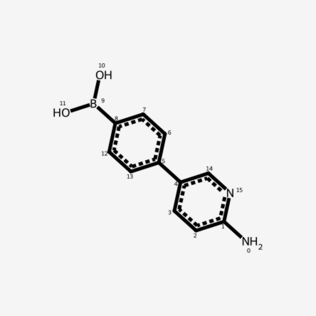 Nc1ccc(-c2ccc(B(O)O)cc2)cn1